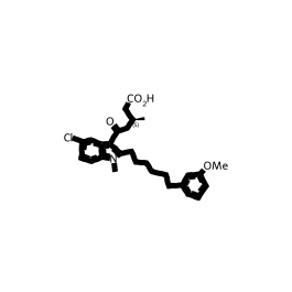 COc1cccc(CCCCCCc2c(C(=O)C[C@H](C)CC(=O)O)c3cc(Cl)ccc3n2C)c1